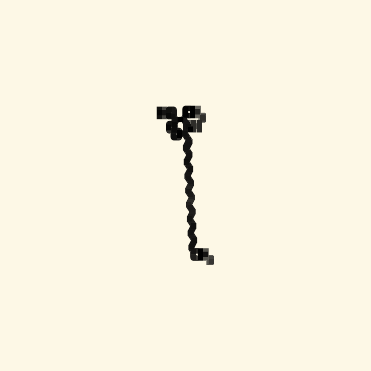 CCCCCCCCCCCCCCCC=CC(=O)NC(C)C(=O)O